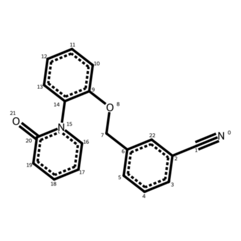 N#Cc1cccc(COc2ccccc2-n2ccccc2=O)c1